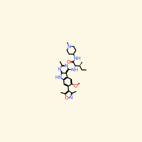 CC[C@H](C)[C@H](Nc1nc(C)nc2[nH]c3cc(-c4c(C)noc4C)c(OC)cc3c12)C(=O)NC1CCN(C)CC1